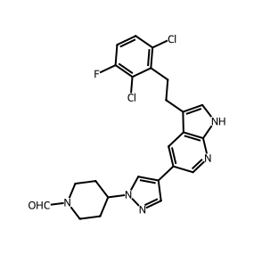 O=CN1CCC(n2cc(-c3cnc4[nH]cc(CCc5c(Cl)ccc(F)c5Cl)c4c3)cn2)CC1